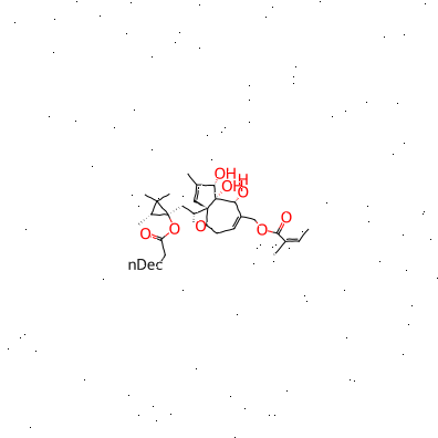 C/C=C(/C)C(=O)OCC1=CCC(=O)[C@@]2([C@H](C)C[C@]3(OC(=O)CCCCCCCCCCC)[C@H](C)C3(C)C)C=C(C)[C@H](O)[C@@]2(O)[C@@H]1O